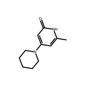 Cc1cc(N2CCCCC2)cc(=O)[nH]1